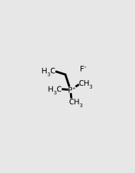 CC[P+](C)(C)C.[F-]